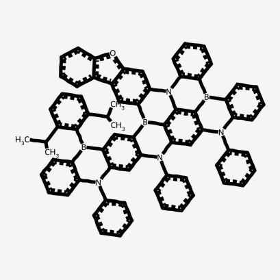 CC(C)c1cccc(C(C)C)c1B1c2ccccc2N(c2ccccc2)c2cc3c(cc21)B1c2cc4c(cc2N2c5ccccc5B5c6ccccc6N(c6ccccc6)c6cc(c1c2c65)N3c1ccccc1)oc1ccccc14